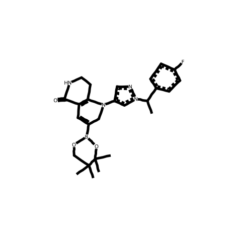 CC(c1ccc(F)cc1)n1cc(N2CC(B3OCC(C)(C)C(C)(C)O3)=CC3=C2CCNC3=O)cn1